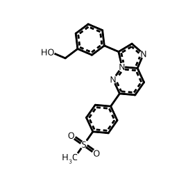 CS(=O)(=O)c1ccc(-c2ccc3ncc(-c4cccc(CO)c4)n3n2)cc1